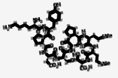 CSCC[C@H](NC(=O)[C@H](CCSC)NC(=O)[C@@H]1CCCN1C(=O)[C@@H](NC(=O)[C@H](CO)NC(=O)[C@H](CC(=O)O)NC(=O)[C@@H]1CCCN1C(=O)[C@H](Cc1ccc(O)cc1)NC(=O)[C@@H](N)CCCCN)C(C)C)C(=O)N[C@@H](CO)C(=O)O